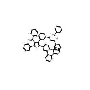 c1ccc(-c2cc(-c3cccc(-c4c(-c5ccc6c7ccccc7c7ccccc7c6c5)sc5c4c(-c4ccccc4)nc4ccccc45)c3)nc(-c3ccccc3)n2)cc1